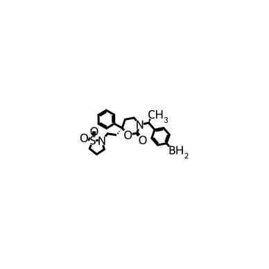 Bc1ccc([C@H](C)N2CC[C@](CCN3CCCS3(=O)=O)(c3ccccc3)OC2=O)cc1